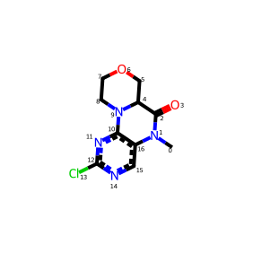 CN1C(=O)C2COCCN2c2nc(Cl)ncc21